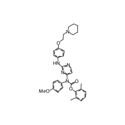 COc1ccc(N(C(=O)Oc2c(C)cccc2C)c2ccnc(Nc3ccc(OCCN4CCCCC4)cc3)n2)cc1